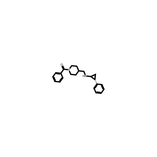 O=C(c1ccccc1)N1CCC(CNC2C[C@@H]2c2ccccc2)CC1